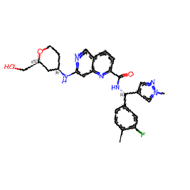 Cc1ccc([C@H](NC(=O)c2ccc3cnc(N[C@@H]4CCO[C@H](CO)C4)cc3n2)c2cnn(C)c2)cc1F